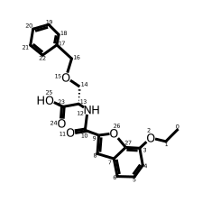 CCOc1cccc2cc(C(=O)N[C@@H](COCc3ccccc3)C(=O)O)oc12